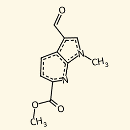 COC(=O)c1ccc2c(C=O)cn(C)c2n1